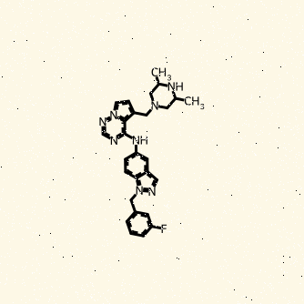 CC1CN(Cc2ccn3ncnc(Nc4ccc5c(cnn5Cc5cccc(F)c5)c4)c23)CC(C)N1